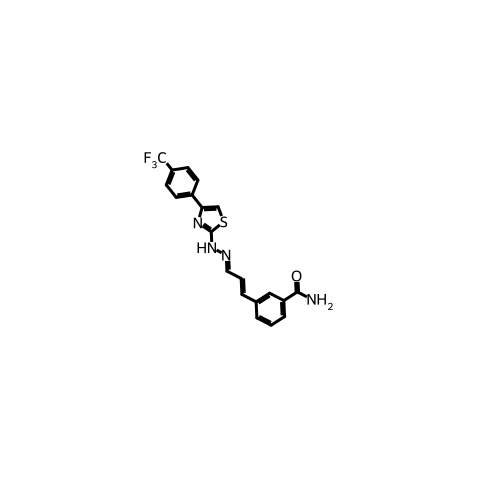 NC(=O)c1cccc(C=CC=NNc2nc(-c3ccc(C(F)(F)F)cc3)cs2)c1